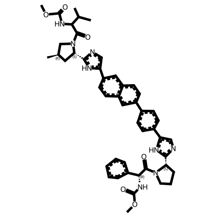 COC(=O)NC(C(=O)N1C[C@H](C)C[C@H]1c1ncc(-c2ccc3cc(-c4ccc(-c5cnc([C@@H]6CCCN6C(=O)[C@H](NC(=O)OC)c6ccccc6)[nH]5)cc4)ccc3c2)[nH]1)C(C)C